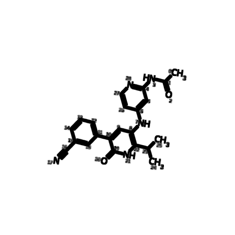 CC(=O)Nc1cc(Nc2cc(-c3cccc(C#N)c3)c(=O)[nH]c2C(C)C)ccn1